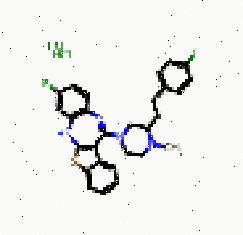 CN1CCN(C2=Nc3ccc(F)cc3Nc3sc4ccccc4c32)CC1CCc1ccc(F)cc1.Cl.Cl